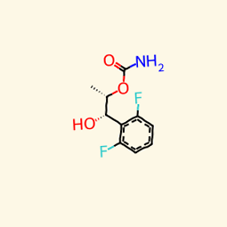 C[C@H](OC(N)=O)[C@@H](O)c1c(F)cccc1F